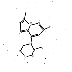 Cc1cnc2c(N3CCOCC3C)cc(Cl)nn12